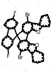 Fc1ccc2c(c1)C1(c3cc(F)ccc3-2)c2cc(Br)c3c(oc4ccccc43)c2-c2c1cc(Br)c1c2oc2ccccc21